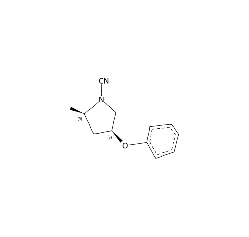 C[C@@H]1C[C@H](Oc2ccccc2)CN1C#N